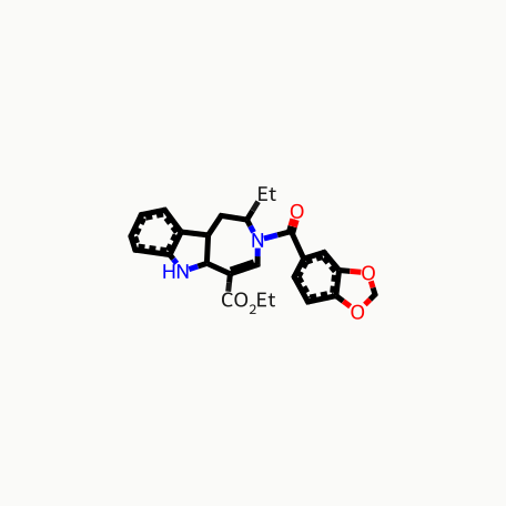 CCOC(=O)C1=CN(C(=O)c2ccc3c(c2)OCO3)C(CC)CC2c3ccccc3NC12